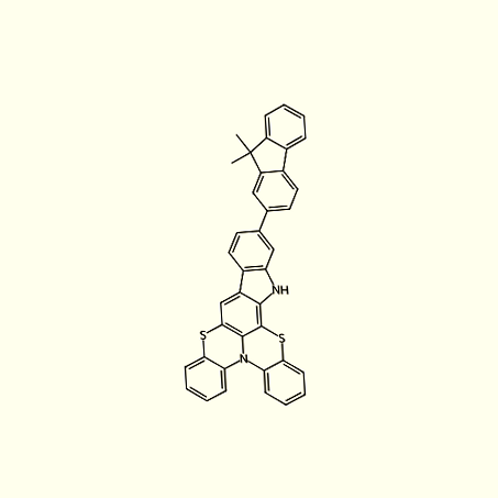 CC1(C)c2ccccc2-c2ccc(-c3ccc4c(c3)[nH]c3c5c6c(cc34)Sc3ccccc3N6c3ccccc3S5)cc21